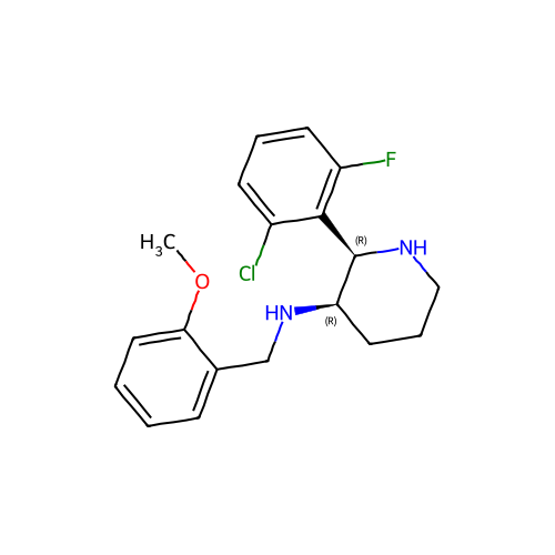 COc1ccccc1CN[C@@H]1CCCN[C@@H]1c1c(F)cccc1Cl